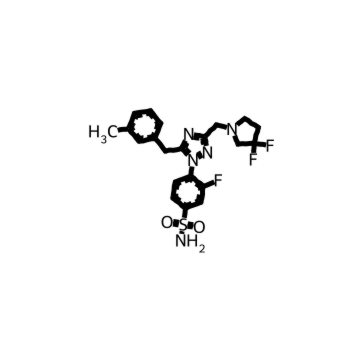 Cc1cccc(Cc2nc(CN3CCC(F)(F)C3)nn2-c2ccc(S(N)(=O)=O)cc2F)c1